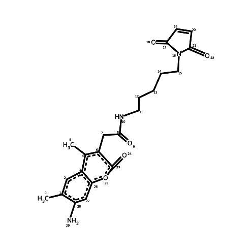 Cc1cc2c(C)c(CC(=O)NCCCCCN3C(=O)C=CC3=O)c(=O)oc2cc1N